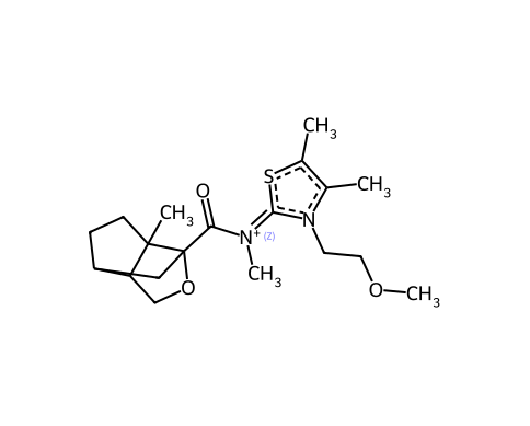 COCCn1c(C)c(C)s/c1=[N+](/C)C(=O)C12CC3CCC1(C)C3CO2